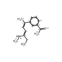 CC/C(=C/C=C(/C)c1cccc(C(C)=O)c1)NC